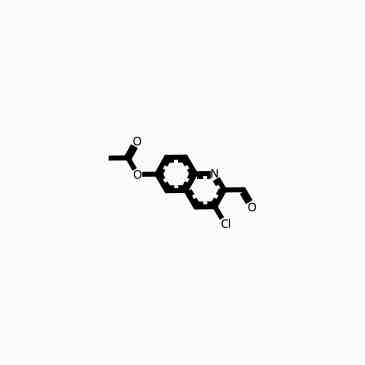 CC(=O)Oc1ccc2nc(C=O)c(Cl)cc2c1